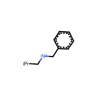 CC(C)C[N+]Cc1ccccc1